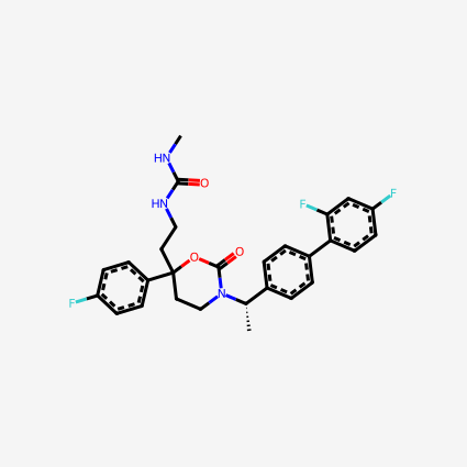 CNC(=O)NCCC1(c2ccc(F)cc2)CCN([C@@H](C)c2ccc(-c3ccc(F)cc3F)cc2)C(=O)O1